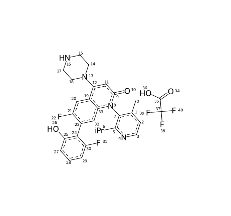 Cc1ccnc(C(C)C)c1-n1c(=O)cc(N2CCNCC2)c2cc(F)c(-c3c(O)cccc3F)cc21.O=C(O)C(F)(F)F